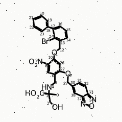 CC(CO)(NCc1cc([N+](=O)[O-])c(OCc2cccc(-c3ccccc3)c2Br)cc1OCc1ccc2nonc2c1)C(=O)O